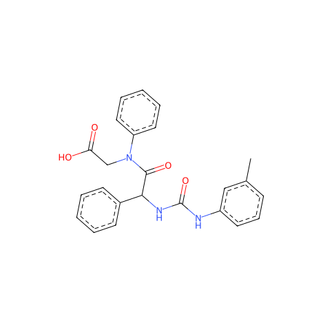 Cc1cccc(NC(=O)NC(C(=O)N(CC(=O)O)c2ccccc2)c2ccccc2)c1